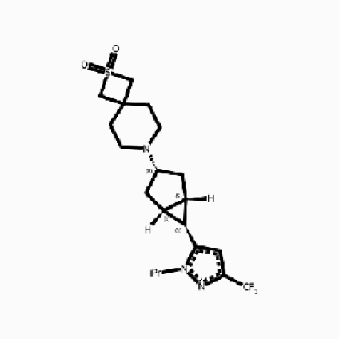 CC(C)n1nc(C(F)(F)F)cc1[C@H]1[C@@H]2C[C@H](N3CCC4(CC3)CS(=O)(=O)C4)C[C@@H]21